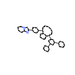 c1ccc(-c2cc(-c3ccccc3)cc(-c3ccccccc(-c4ccc(-c5cn6ccccc6n5)cc4)c4ccccc34)c2)cc1